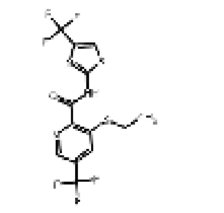 CCSc1cc(C(F)(F)F)cnc1C(=O)Nc1nc(C(F)(F)F)cs1